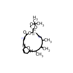 C=C1CC(C)/C=C/C[C@@H]([C@@H]2COC(C)(C)O2)OC(=O)/C=C\C[C@@H]2C=CC[C@@H](C[C@@H](C)C1)O2